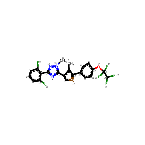 Cc1c(-c2nc(-c3c(F)cccc3Cl)nn2C)csc1-c1ccc(OC(F)(F)C(F)F)cc1